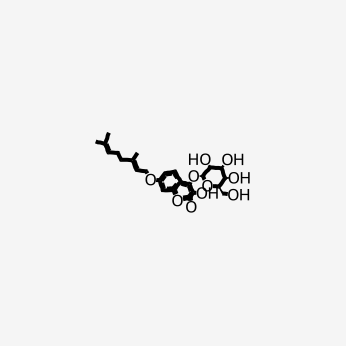 CC(C)=CCC/C(C)=C/COc1ccc2c(O[C@H]3O[C@H](CO)[C@@H](O)[C@H](O)[C@@H]3O)c(O)c(=O)oc2c1